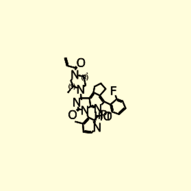 C=CC(=O)N1C[C@H](C)N(c2nc(=O)n(-c3c(C)ccnc3C(C)C)c3nc(-c4c(O)cccc4F)c4c(c23)CCC4)C[C@H]1C